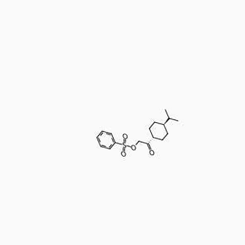 CC(C)[C@H]1CC[C@H](C(=O)COS(=O)(=O)c2ccccc2)CC1